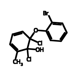 CC1=CC=CC(Cl)(Oc2ccccc2Br)C1(O)Cl